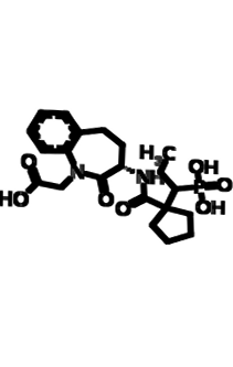 CCC(C1(C(=O)N[C@H]2CCc3ccccc3N(CC(=O)O)C2=O)CCCC1)P(=O)(O)O